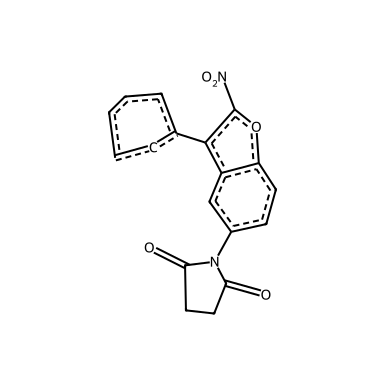 O=C1CCC(=O)N1c1ccc2oc([N+](=O)[O-])c(-c3ccccc3)c2c1